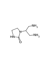 NCC(CN)N1CCNC1=O